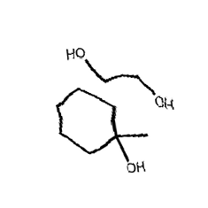 CC1(O)CCCCC1.OCCO